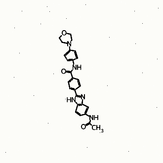 CC(=O)Nc1ccc2[nH]c(-c3ccc(C(=O)Nc4ccc(N5CCOCC5)cc4)cc3)nc2c1